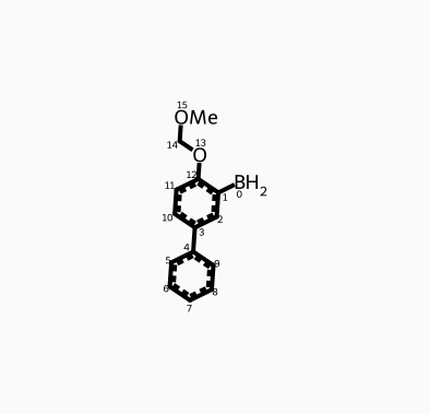 Bc1cc(-c2ccccc2)ccc1OCOC